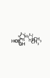 CC1(C)CCC(c2cccc(B(O)O)c2)C1